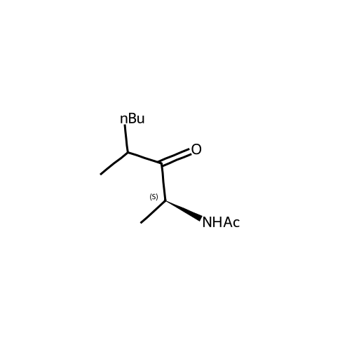 CCCCC(C)C(=O)[C@H](C)NC(C)=O